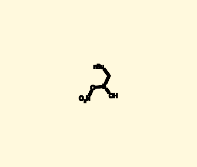 CCCCCB(O)O[N+](=O)[O-]